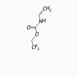 C=CNC(=O)OCC(F)(F)F